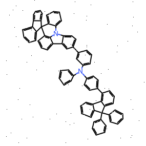 c1ccc(N(c2ccc(-c3cccc4c3-c3ccccc3C4(c3ccccc3)c3ccccc3)cc2)c2cccc(-c3ccc4c(c3)c3cccc5c3n4-c3ccccc3C53c4ccccc4-c4ccccc43)c2)cc1